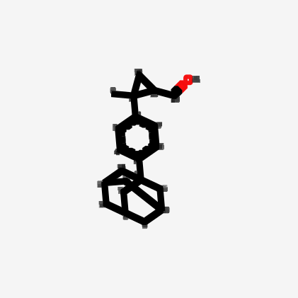 CC1(c2ccc(C34CC5CC(CC(C5)C3)C4)cc2)CC1C=O